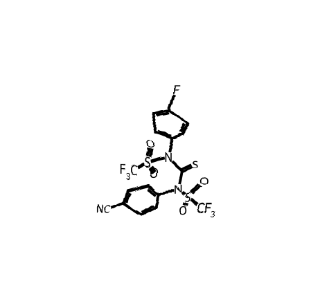 N#Cc1ccc(N(C(=S)N(c2ccc(F)cc2)S(=O)(=O)C(F)(F)F)S(=O)(=O)C(F)(F)F)cc1